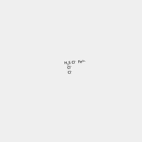 S.[Cl-].[Cl-].[Cl-].[Fe+3]